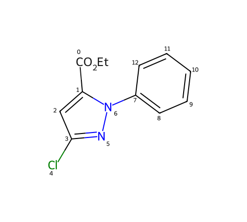 CCOC(=O)c1cc(Cl)nn1-c1ccccc1